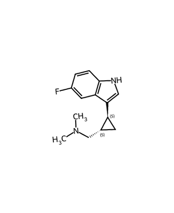 CN(C)C[C@H]1C[C@@H]1c1c[nH]c2ccc(F)cc12